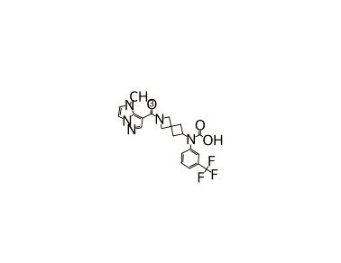 Cn1ccn2ncc(C(=O)N3CC4(CC(N(C(=O)O)c5cccc(C(F)(F)F)c5)C4)C3)c12